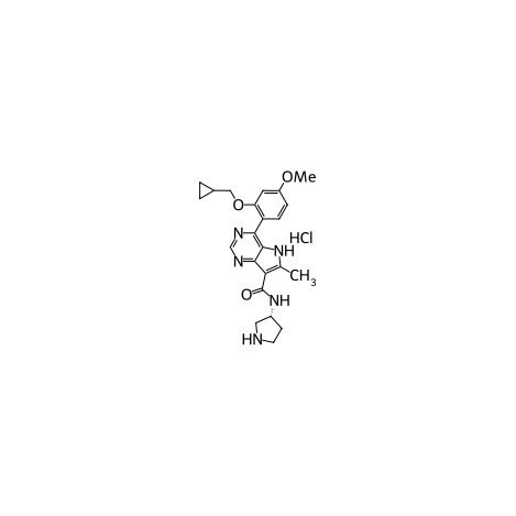 COc1ccc(-c2ncnc3c(C(=O)N[C@@H]4CCNC4)c(C)[nH]c23)c(OCC2CC2)c1.Cl